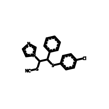 N#CSC(C(Sc1ccc(Cl)cc1)c1ccccc1)n1ccnc1